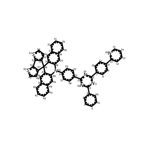 c1ccc(-c2nc(-c3ccc(-c4ccccn4)cc3)nc(-c3ccc(N4c5cc6ccccc6cc5C5(c6cc7ccccc7cc64)c4ccsc4-c4sccc45)cc3)n2)cc1